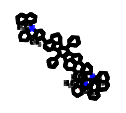 CC12CCCCC1(C)N(c1cccc3ccccc13)c1ccc(-c3ccc4c5c(-c6ccccc6)c6c7ccc(-c8ccc9c(c8)C8(C)CCCCC8(C)N9c8cccc9ccccc89)c8c(-c9ccc%10c(c9)C9(C)CCCCC9(C)N%10c9cccc%10ccccc9%10)ccc(c6c(-c6ccccc6)c5c5cccc3c54)c87)cc12